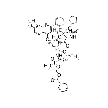 C=C[C@@H]1C[C@]1(NC(=O)[C@@H]1C[C@@H](Oc2cc(-c3ccccc3)nc3cc(OC)ccc23)CN1C(=O)C(NC(=O)OC1CCCC1)C(C)(C)C)P(C)(=O)OCOC(=O)c1ccccc1